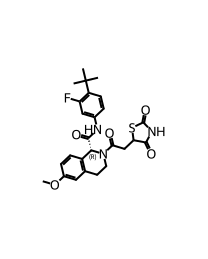 COc1ccc2c(c1)CCN(C(=O)CC1SC(=O)NC1=O)[C@H]2C(=O)Nc1ccc(C(C)(C)C)c(F)c1